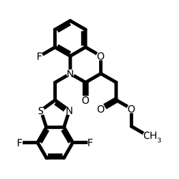 CCOC(=O)CC1Oc2cccc(F)c2N(Cc2nc3c(F)ccc(F)c3s2)C1=O